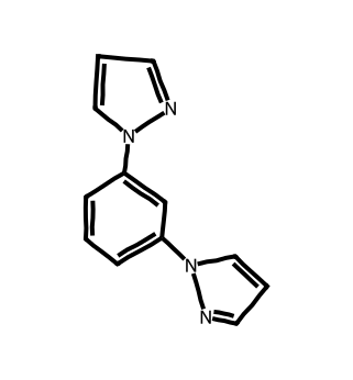 c1cc(-n2cccn2)cc(-n2cccn2)c1